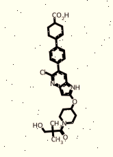 CC(C)(CO)C(=O)N1CCC(Oc2cc3nc(Cl)c(-c4ccc(C5=CCC(C(=O)O)CC5)cc4)cc3[nH]2)CC1